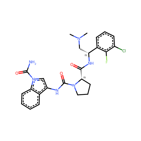 CN(C)C[C@@H](NC(=O)[C@@H]1CCCN1C(=O)Nc1cn(C(N)=O)c2ccccc12)c1cccc(Cl)c1F